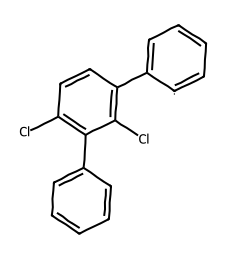 Clc1ccc(-c2[c]cccc2)c(Cl)c1-c1ccccc1